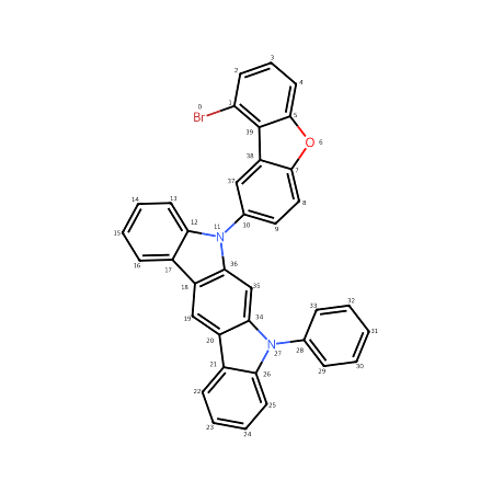 Brc1cccc2oc3ccc(-n4c5ccccc5c5cc6c7ccccc7n(-c7ccccc7)c6cc54)cc3c12